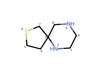 C1CNC2(CCSC2)CN1